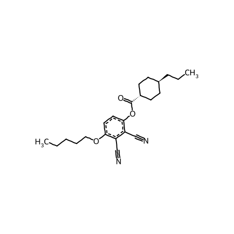 CCCCCOc1ccc(OC(=O)[C@H]2CC[C@H](CCC)CC2)c(C#N)c1C#N